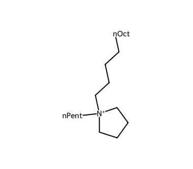 CCCCCCCCCCCC[N+]1(CCCCC)CCCC1